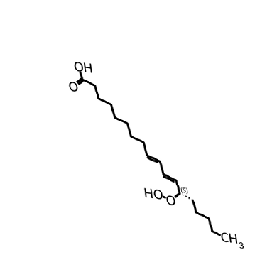 CCCCC[C@@H](C=CC=CCCCCCCCC(=O)O)OO